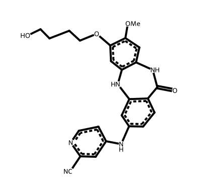 COc1cc2c(cc1OCCCCO)Nc1cc(Nc3ccnc(C#N)c3)ccc1C(=O)N2